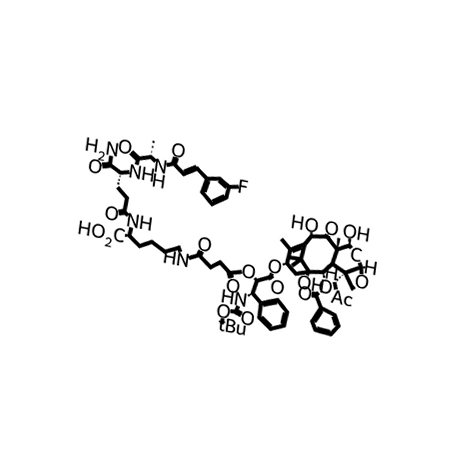 CC(=O)C[C@@]12CO[C@@H]1C[C@H](O)[C@@]1(C)C(=O)[C@H](O)C3=C(C)[C@@H](OC(=O)[C@H](OC(=O)CCC(=O)NCCCC[C@H](NC(=O)CC[C@@H](NC(=O)[C@H](C)NC(=O)/C=C/c4cccc(F)c4)C(N)=O)C(=O)O)[C@@H](NC(=O)OC(C)(C)C)c4ccccc4)C[C@@](O)([C@@H](OC(=O)c4ccccc4)[C@H]21)C3(C)C